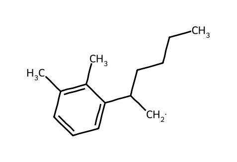 [CH2]C(CCCC)c1cccc(C)c1C